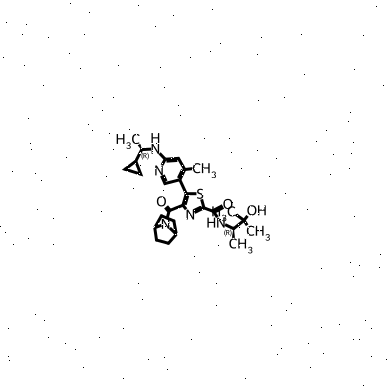 Cc1cc(N[C@H](C)C2CC2)ncc1-c1sc(C(=O)N[C@H](C)C(C)(C)O)nc1C(=O)N1C2CCC1CC2